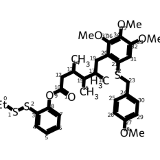 CCSSc1ccccc1OC(=O)CC(C)C(C)C(C)Cc1c(SCc2ccc(OC)cc2)cc(OC)c(OC)c1OC